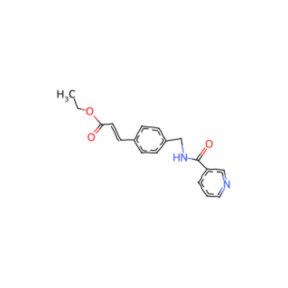 CCOC(=O)/C=C/c1ccc(CNC(=O)c2cccnc2)cc1